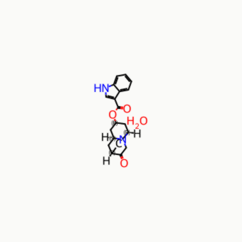 O.O=C(O[C@@H]1C[C@@H]2C[C@@H]3C[C@H](C1)N2CC3=O)c1c[nH]c2ccccc12